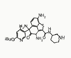 Cc1cc(OCC(C)C)ncc1C1(N)C(=O)C(N)c2c(C(=O)NC3CCCNC3)sc3c(N)ccc1c23